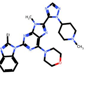 CCc1nc2ccccc2n1-c1nc(N2CCOCC2)c2nc(-c3ncnn3C3CCN(C)CC3)n(C)c2n1